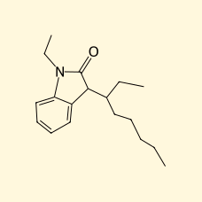 CCCCCC(CC)C1C(=O)N(CC)c2ccccc21